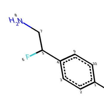 Cc1ccc(C(F)CN)cc1